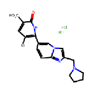 CCc1cc(C(=O)O)c(=O)[nH]c1-c1ccc2nc(CN3CCCC3)cn2c1.Cl.Cl